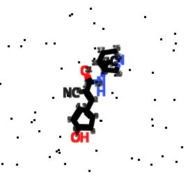 N#CC(=Cc1ccc(O)cc1)C(=O)NC1CN2CCC1CC2